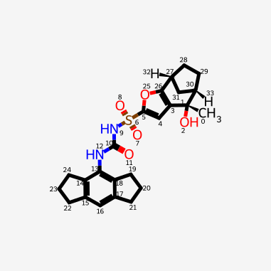 C[C@@]1(O)c2cc(S(=O)(=O)NC(=O)Nc3c4c(cc5c3CCC5)CCC4)oc2[C@@H]2CC[C@H]1C2